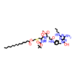 CCCCCCCCCCCCCC(=O)OCCSC[C@H](NC(=O)OC(C)(C)C)C(=O)N[C@@H](CCC(=O)Nc1ccc(Cn2c(O)nc3c(N)nc(NCCCC)nc32)cc1)C(=O)OC